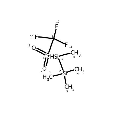 C[SiH]([Si](C)(C)C)S(=O)(=O)C(F)(F)F